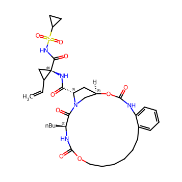 C=CC1C[C@]1(NC(=O)[C@@H]1C[C@@H]2CN1C(=O)[C@H](CCCC)NC(=O)OCCCCCCc1ccccc1NC(=O)O2)C(=O)NS(=O)(=O)C1CC1